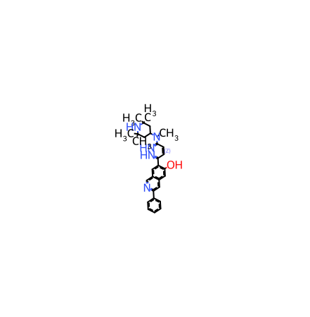 CN(C(=N)/C=C\C(=N)c1cc2cnc(-c3ccccc3)cc2cc1O)C1CC(C)(C)NC(C)(C)C1